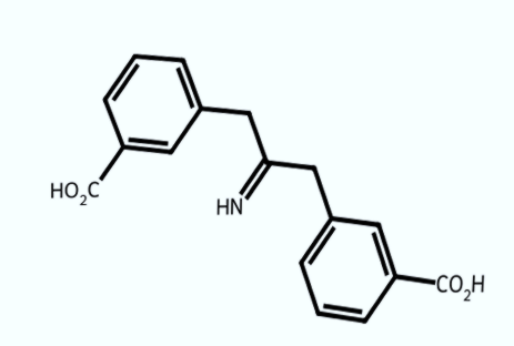 N=C(Cc1cccc(C(=O)O)c1)Cc1cccc(C(=O)O)c1